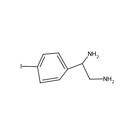 NCC(N)c1ccc(I)cc1